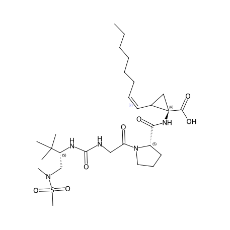 CCCCCC/C=C\C1C[C@]1(NC(=O)[C@@H]1CCCN1C(=O)CNC(=O)N[C@H](CN(C)S(C)(=O)=O)C(C)(C)C)C(=O)O